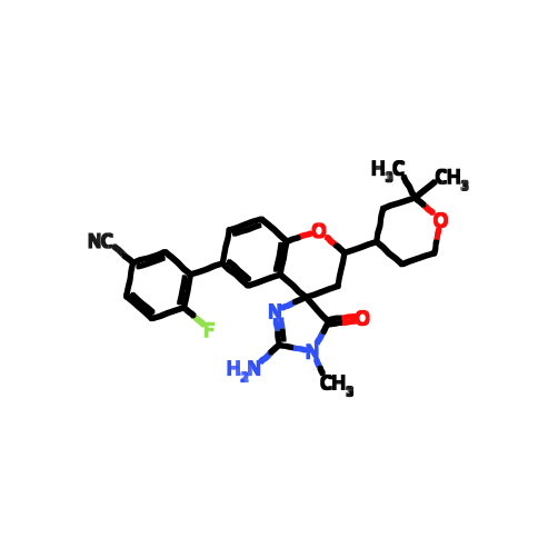 CN1C(=O)C2(CC(C3CCOC(C)(C)C3)Oc3ccc(-c4cc(C#N)ccc4F)cc32)N=C1N